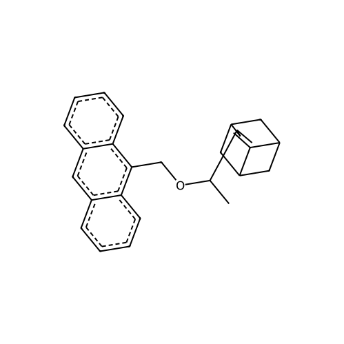 CC(OCc1c2ccccc2cc2ccccc12)C1=C2C3CC(C1)CC2C3